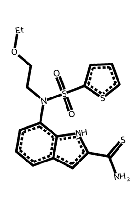 CCOCCN(c1cccc2cc(C(N)=S)[nH]c12)S(=O)(=O)c1cccs1